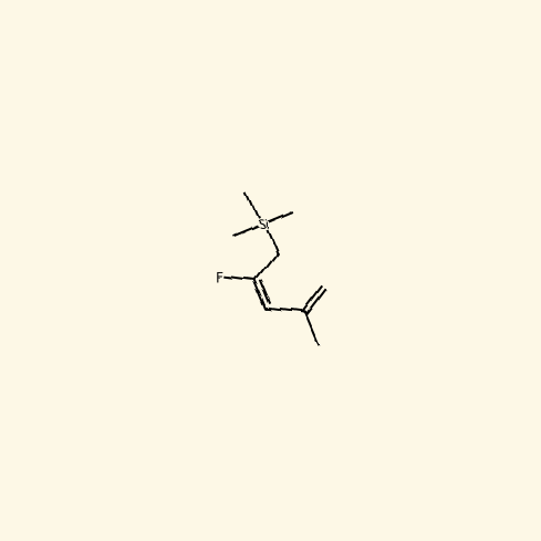 C=C(C)/C=C(/F)C[Si](C)(C)C